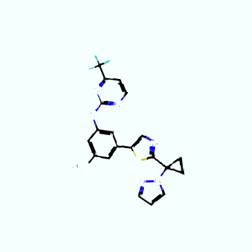 Cc1cc(Nc2nccc(C(F)(F)F)n2)cc(-c2cnc(C3(n4cccn4)CC3)s2)c1